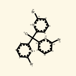 [O]C(c1cccc(Br)n1)(c1cccc(Br)n1)c1cccc(Br)n1